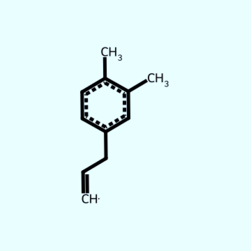 [CH]=CCc1ccc(C)c(C)c1